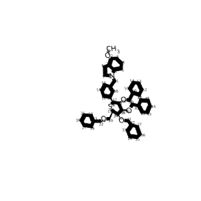 COc1cccc2c1ccn2Cc1cccc([C@@H]2S[C@H](COCc3ccccc3)[C@@H](OCc3ccccc3)[C@H](OCc3ccccc3)[C@H]2OCc2ccccc2)c1